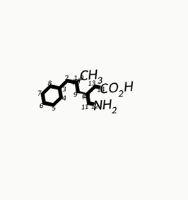 C[C@H](CC1CCCCC1)C[C@H](CN)CC(=O)O